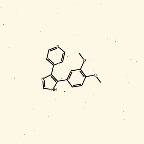 COc1ccc(-c2[nH]cnc2-c2ccncc2)cc1OC